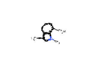 Cc1cn(C)c2c(C(=O)O)cccc12